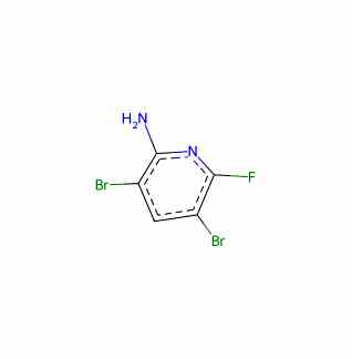 Nc1nc(F)c(Br)cc1Br